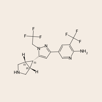 Nc1ncc(-c2cc([C@@H]3[C@@H]4CNC[C@@H]43)n(CC(F)(F)F)n2)cc1C(F)(F)F